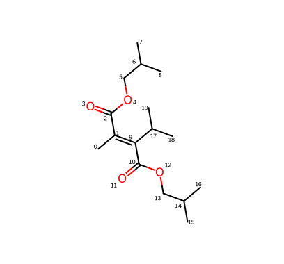 CC(C(=O)OCC(C)C)=C(C(=O)OCC(C)C)C(C)C